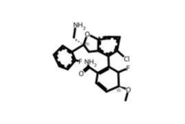 CO[C@H]1C=CC(C(N)=O)=C(c2c(Cl)ccc3c2C[C@@](CN)(c2ccccc2F)O3)C1F